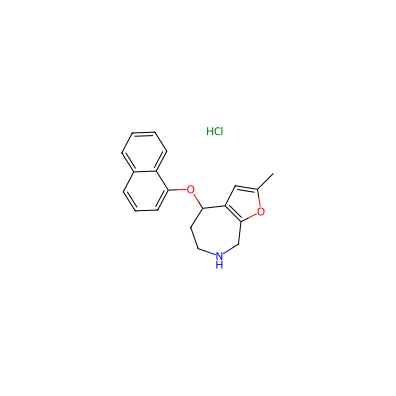 Cc1cc2c(o1)CNCCC2Oc1cccc2ccccc12.Cl